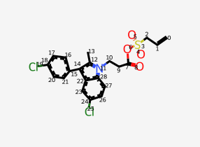 C=CCS(=O)(=O)OC(=O)CCn1c(C)c(-c2ccc(Cl)cc2)c2cc(Cl)ccc21